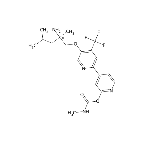 CNC(=O)Oc1cc(-c2cc(C(F)(F)F)c(OC[C@](C)(N)CC(C)C)cn2)ccn1